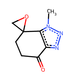 Cn1nnc2c1C1(CCC2=O)CO1